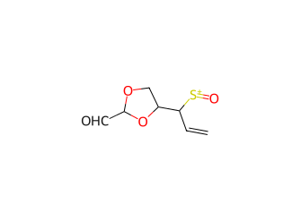 C=CC([S+]=O)C1COC(C=O)O1